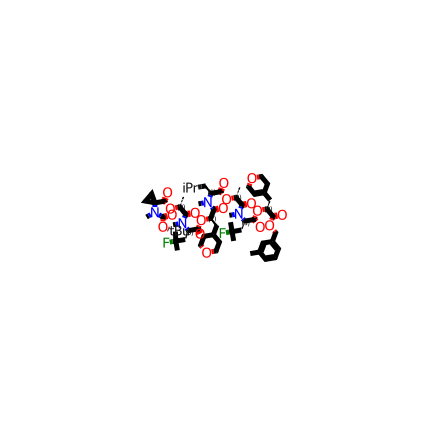 Cc1cccc(COC(=O)[C@@H](CC2=CCOCC2)OC(=O)[C@H](CC(C)(C)F)N(C)C(=O)[C@@H](C)OC(=O)[C@H](CC(C)C)N(C)C(=O)[C@@H](CC2CCOCC2)OC(=O)[C@H](CC(C)(C)F)N(C)C(=O)[C@@H](C)OC(=O)C2(N(C)C(=O)OC(C)(C)C)CC2)c1